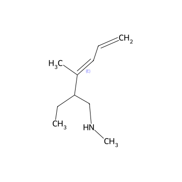 C=C/C=C(\C)C(CC)CNC